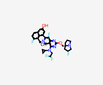 C#Cc1c(F)ccc2cc(O)cc(-c3ncc4c(N(CC(F)F)C5CC5)nc(OC[C@@]56CCCN5C[C@H](F)C6)nc4c3F)c12